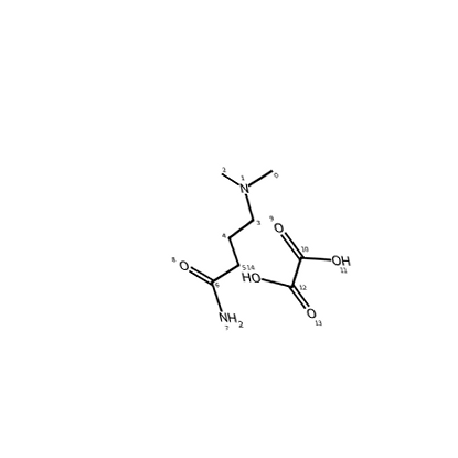 CN(C)CCCC(N)=O.O=C(O)C(=O)O